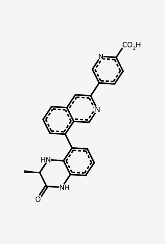 C[C@H]1Nc2c(cccc2-c2cccc3cc(-c4ccc(C(=O)O)nc4)ncc23)NC1=O